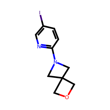 Ic1ccc(N2CC3(COC3)C2)nc1